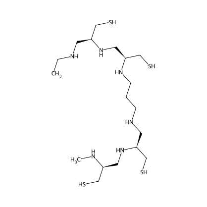 CCNC[C@@H](CS)NC[C@@H](CS)NCCCNC[C@@H](CS)NC[C@@H](CS)NC